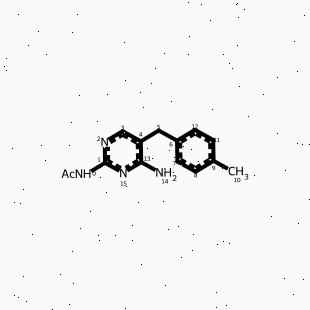 CC(=O)Nc1ncc(Cc2ccc(C)cc2)c(N)n1